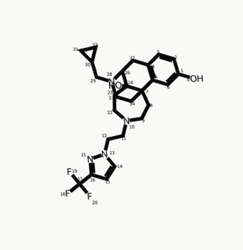 Oc1ccc2c(c1)C13CCN(CCn4ccc(C(F)(F)F)n4)CCC1(O)C(C2)N(CC1CC1)CC3